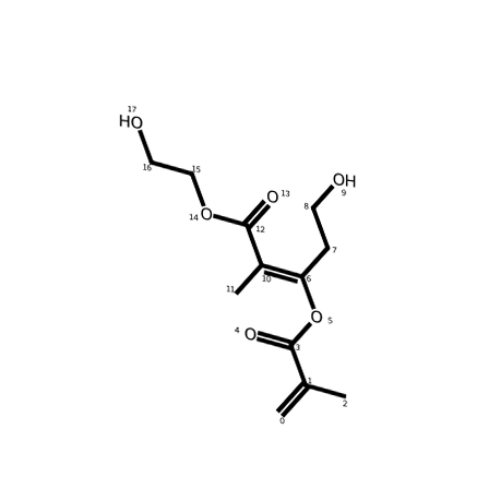 C=C(C)C(=O)OC(CCO)=C(C)C(=O)OCCO